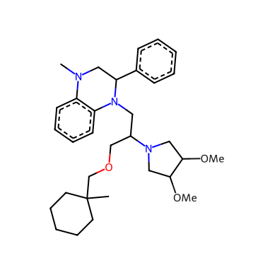 COC1CN(C(COCC2(C)CCCCC2)CN2c3ccccc3N(C)CC2c2ccccc2)CC1OC